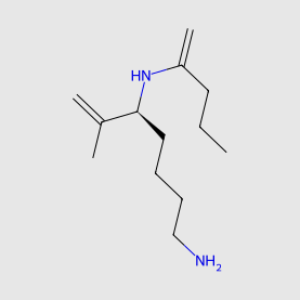 C=C(CCC)N[C@@H](CCCCN)C(=C)C